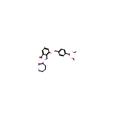 CCOC(OCC)c1ccc(COc2cc(F)cc3c2CN(C2CCCCNC2=O)C3=O)cc1